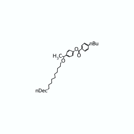 CCCCCCCCCCCCCCCCCCCCOC(C)c1ccc(OC(=O)c2ccc(CCCC)cc2)cc1